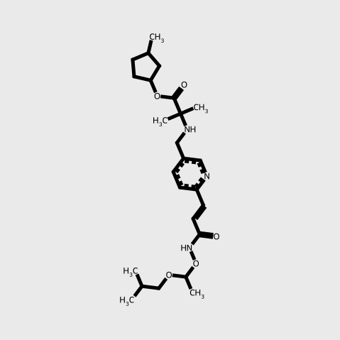 CC(C)COC(C)ONC(=O)C=Cc1ccc(CNC(C)(C)C(=O)OC2CCC(C)C2)cn1